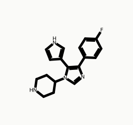 Fc1ccc(-c2ncn(C3CCNCC3)c2-c2cc[nH]c2)cc1